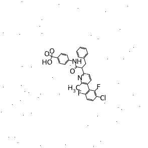 Cc1nc(C(Cc2ccccc2)C(=O)Nc2ccc(C3(O)OO3)cc2)ccc1-c1c(F)ccc(Cl)c1F